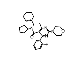 Cc1nc(N2CCOCC2)nc(-c2ccccc2F)c1C(=O)N(CC1=CCCCC1)C1CCCC1